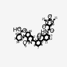 COc1nc(-c2cccc(-c3cccc(NC(=O)c4cn(C)c(=O)n(C)c4=O)c3Cl)c2Cl)cc2c1[C@H](N1CCCC[C@@H]1C(=O)O)CC2